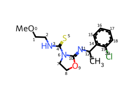 COCCNC(=S)N1CCOC1=NC(C)c1ccccc1Cl